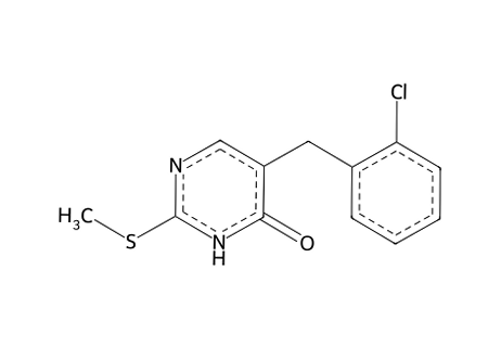 CSc1ncc(Cc2ccccc2Cl)c(=O)[nH]1